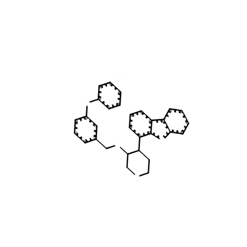 Cl.c1ccc(Oc2cccc(COC3CNCCC3c3cccc4c3oc3ccccc34)c2)cc1